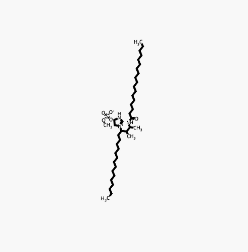 CCCCCCCCCCCCCCCCCC(=O)NC(C)C(C)C(CCCCCCCCCCCCCCC)[N+]1=CNCC1.COS(=O)(=O)[O-]